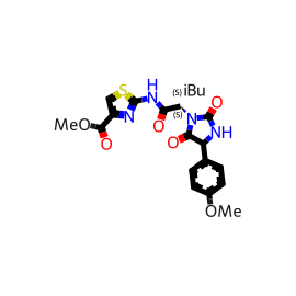 CC[C@H](C)[C@@H](C(=O)Nc1nc(C(=O)OC)cs1)N1C(=O)NC(c2ccc(OC)cc2)C1=O